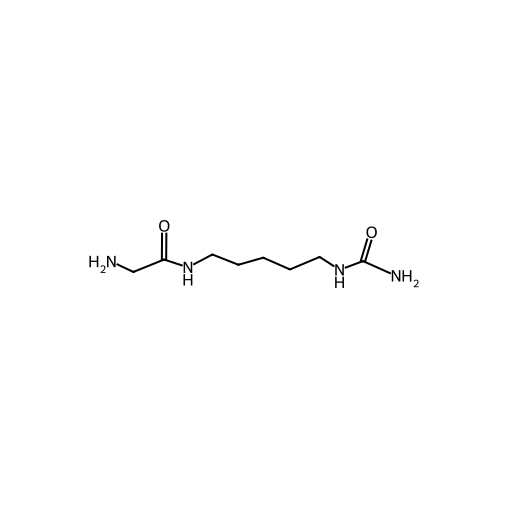 NCC(=O)NCCCCCNC(N)=O